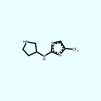 FC(F)(F)c1csc(NC2CCNC2)n1